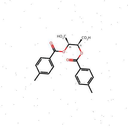 Cc1ccc(C(=O)O[C@H](C(=O)O)[C@@H](OC(=O)c2ccc(C)cc2)C(=O)O)cc1